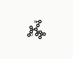 N#Cc1ccccc1-c1ccc(-c2cc(-n3c4ccccc4c4cc5c(cc43)oc3ccccc35)cc(-n3c4ccccc4c4c3ccc3c5ccccc5n(-c5ccccc5)c34)c2)cc1